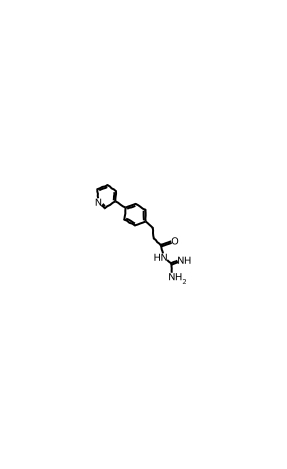 N=C(N)NC(=O)CCc1ccc(-c2cccnc2)cc1